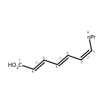 CCC\C=C/C=C/C=C/C(=O)O